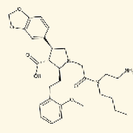 CCCCN(CCN)C(=O)CN1C[C@H](c2ccc3c(c2)OCO3)[C@@H](C(=O)O)[C@@H]1CCc1ccccc1OC